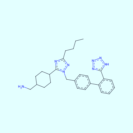 CCCCc1nc(C2CCC(CN)CC2)n(Cc2ccc(-c3ccccc3-c3nnn[nH]3)cc2)n1